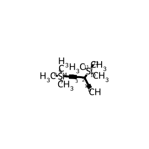 C#CC(C#C[Si](C)(C)C)[Si](C)(C)C